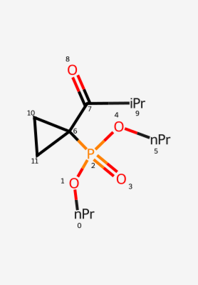 CCCOP(=O)(OCCC)C1(C(=O)C(C)C)CC1